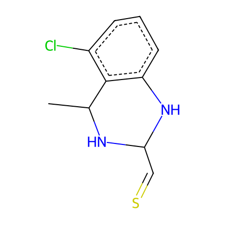 CC1NC(C=S)Nc2cccc(Cl)c21